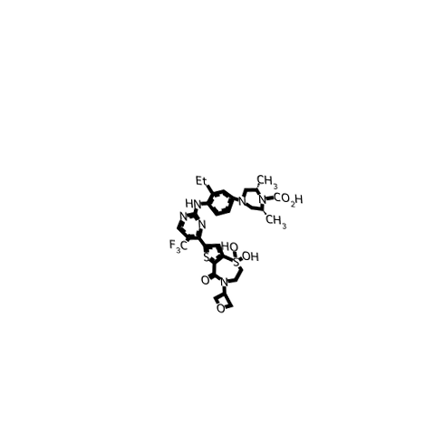 CCc1cc(N2C[C@@H](C)N(C(=O)O)[C@@H](C)C2)ccc1Nc1ncc(C(F)(F)F)c(-c2cc3c(s2)C(=O)N(C2COC2)CCS3(O)O)n1